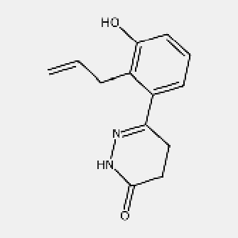 C=CCc1c(O)cccc1C1=NNC(=O)CC1